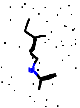 C=C(C)NC/C=C(\C)CC